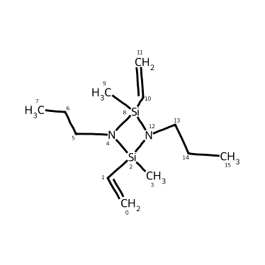 C=C[Si]1(C)N(CCC)[Si](C)(C=C)N1CCC